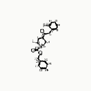 C[C@H]1CC(C(=O)Cc2ccccc2F)CCN1C(=O)OCc1ccccc1